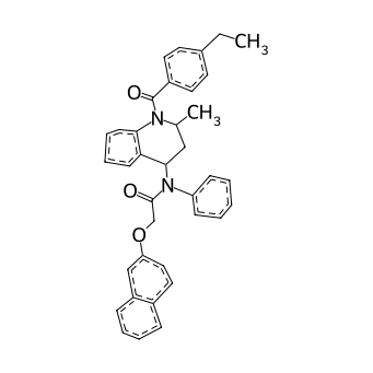 CCc1ccc(C(=O)N2c3ccccc3C(N(C(=O)COc3ccc4ccccc4c3)c3ccccc3)CC2C)cc1